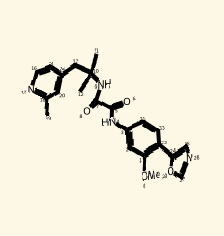 COc1cc(NC(=O)C(=O)NC(C)(C)Cc2ccnc(C)c2)ccc1-c1cnco1